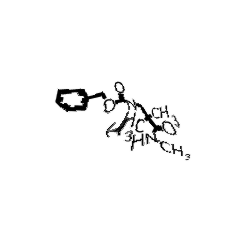 CNC(=O)C(C)(C)CNC(=O)OCc1ccccc1